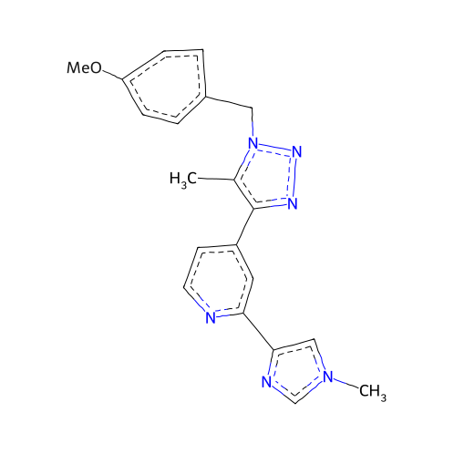 COc1ccc(Cn2nnc(-c3ccnc(-c4cn(C)cn4)c3)c2C)cc1